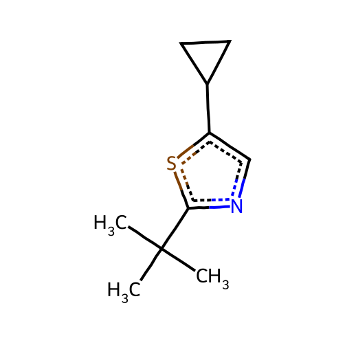 CC(C)(C)c1ncc(C2CC2)s1